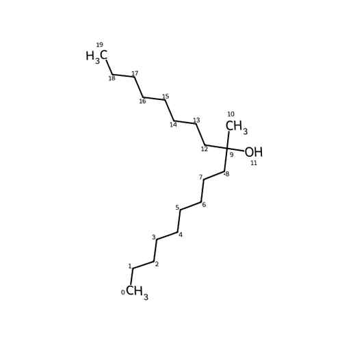 CCCCCCCC[CH]C(C)(O)CCCCCCCC